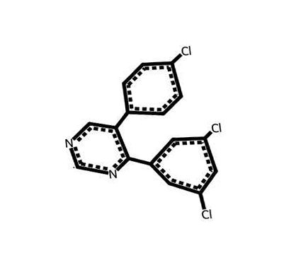 Clc1ccc(-c2cn[c]nc2-c2cc(Cl)cc(Cl)c2)cc1